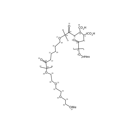 CCCCCCOC(C)(C)C(=O)CC(C(=O)O)C(CC(=O)C(C)(C)OCCCCCC(=O)C(C)(C)OCCOCCOCCOC)C(=O)O